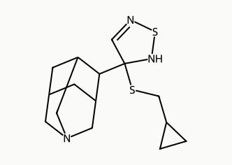 C1=NSNC1(SCC1CC1)C1C2CC3CC1CN(C3)C2